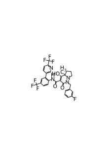 CC12CCCN1N(Cc1cccc(F)c1)C(=O)C(C(=O)Nc1ccc(C(F)(F)F)cc1-c1ccc(C(F)(F)F)nc1)=C2O